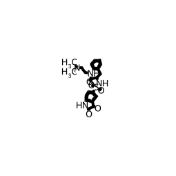 CN(C)CCNC(=O)C(Cc1ccccc1)NS(=O)(=O)c1ccc2c(c1)C(=O)C(=O)N2